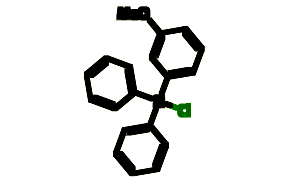 COc1cccc([Si](Cl)(c2ccccc2)c2ccccc2)c1